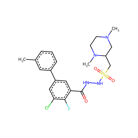 Cc1cccc(-c2cc(Cl)c(F)c(C(=O)NNS(=O)(=O)CC3CN(C)CCN3C)c2)c1